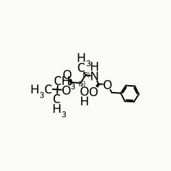 C[C@@H](NC(=O)OCc1ccccc1)[C@H](O)C(=O)OC(C)(C)C